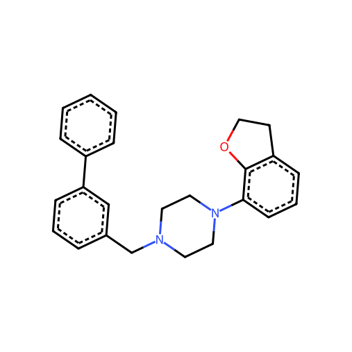 c1ccc(-c2cccc(CN3CCN(c4cccc5c4OCC5)CC3)c2)cc1